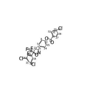 O=C(Oc1ccc(C2=NOC(c3cc(Cl)cc(Cl)c3)(C(F)(F)F)C2)cc1)c1ccc(Cl)cc1